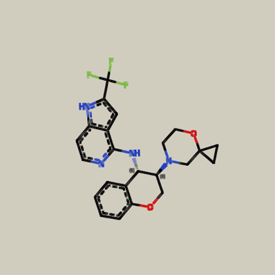 FC(F)(F)c1cc2c(N[C@H]3c4ccccc4OC[C@@H]3N3CCOC4(CC4)C3)nccc2[nH]1